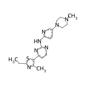 CCc1nc(C)c(-c2ccnc(Nc3ccc(N4CCN(C)CC4)cn3)n2)s1